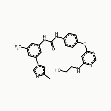 Cc1cn(-c2cc(NC(=O)Nc3ccc(Oc4cc(NCCO)ncn4)cc3)cc(C(F)(F)F)c2)cn1